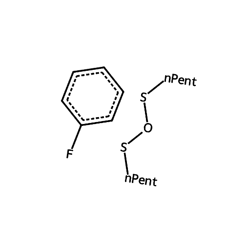 CCCCCSOSCCCCC.Fc1ccccc1